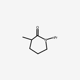 CCCN1CCCC(C)C1=O